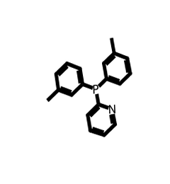 Cc1cccc(P(c2cccc(C)c2)c2ccccn2)c1